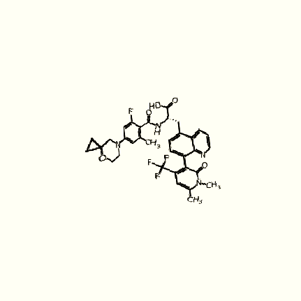 Cc1cc(N2CCOC3(CC3)C2)cc(F)c1C(=O)N[C@@H](Cc1ccc(-c2c(C(F)(F)F)cc(C)n(C)c2=O)c2ncccc12)C(=O)O